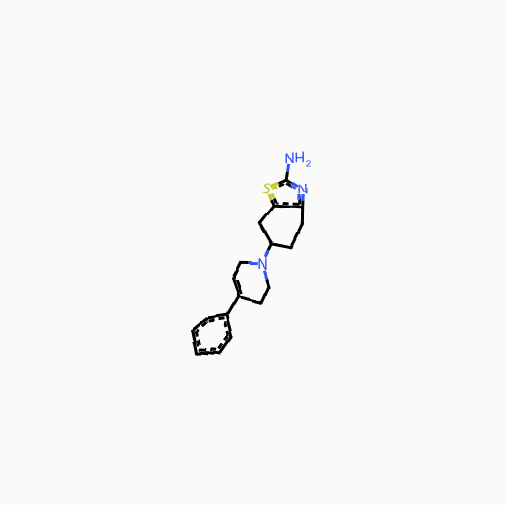 Nc1nc2c(s1)CC(N1CC=C(c3ccccc3)CC1)CC2